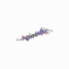 COC(=O)N[C@@H](CC(C)C)C(=O)N1C[C@@H](SC)C[C@H]1c1ncc(-c2ccc(-c3ccc(-c4[nH]c([C@@H]5CCCN5C(=O)[C@@H](NC(=O)OC)C(C)C)nc4Cl)cc3)cc2)[nH]1